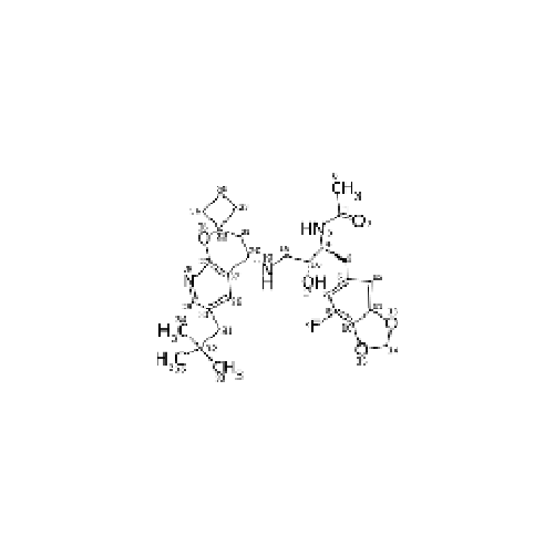 CC(=O)N[C@@H](Cc1cc(F)c2c(c1)OCO2)[C@H](O)CN[C@H]1CC2(CCC2)Oc2ncc(CC(C)(C)C)cc21